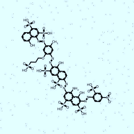 Cc1cc(N=Nc2c(S(=O)(=O)O)cc3c(S(=O)(=O)O)c(N=Nc4cc(S(=O)(=O)O)c5cc(S(=O)(=O)O)c(N=Nc6ccc([N+](=O)[O-])cc6S(=O)(=O)O)c(O)c5c4N)ccc3c2O)c(OCCCS(=O)(=O)O)cc1N=Nc1c(S(=O)(=O)O)cc(S(=O)(=O)O)c2cccc(O)c12